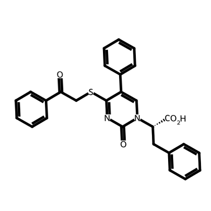 O=C(CSc1nc(=O)n([C@@H](Cc2ccccc2)C(=O)O)cc1-c1ccccc1)c1ccccc1